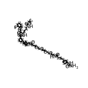 CC(C)(C)OC(=O)NCCCCC(NC(=O)c1cccc(-n2cc(CNC(=O)CCOCCOCCOCCOCCNC(=O)CCCC[C@H]3C[C@H](NC(N)=O)CS3)nn2)c1)C(=O)COc1c(F)cccc1F